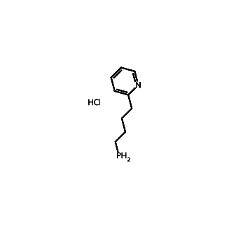 Cl.PCCCCc1ccccn1